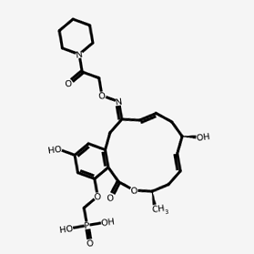 C[C@@H]1C/C=C/[C@H](O)C/C=C/C(=N/OCC(=O)N2CCCCC2)Cc2cc(O)cc(OCP(=O)(O)O)c2C(=O)O1